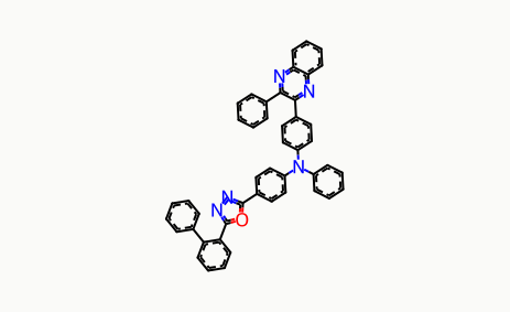 c1ccc(-c2ccccc2-c2nnc(-c3ccc(N(c4ccccc4)c4ccc(-c5nc6ccccc6nc5-c5ccccc5)cc4)cc3)o2)cc1